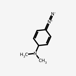 CN(C)C1C=CC(=[N+]=[N-])C=C1